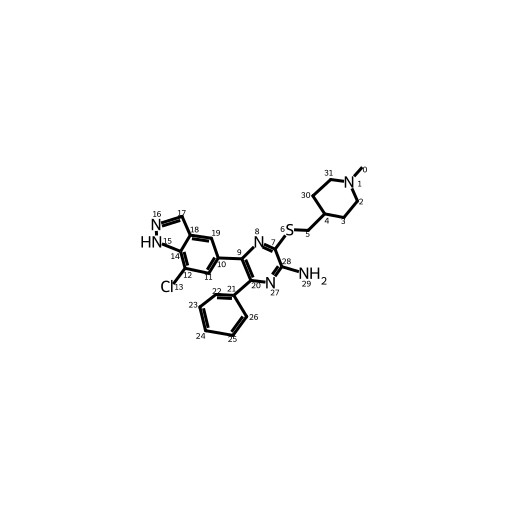 CN1CCC(CSc2nc(-c3cc(Cl)c4[nH]ncc4c3)c(-c3ccccc3)nc2N)CC1